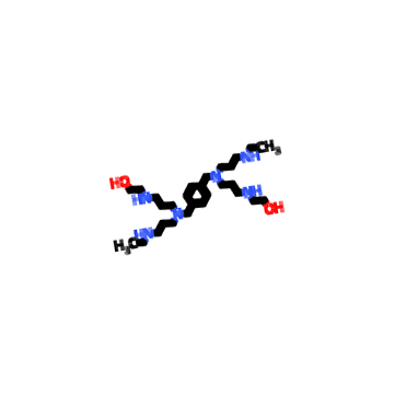 CCNCCCN(CCCNCCO)Cc1ccc(CN(CCCNCC)CCCNCCO)cc1